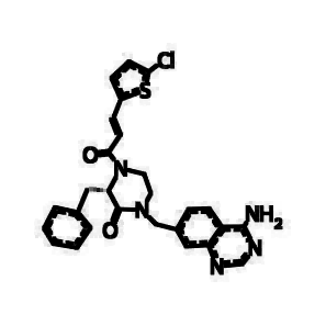 Nc1ncnc2cc(CN3CCN(C(=O)C=Cc4ccc(Cl)s4)[C@@H](Cc4ccccc4)C3=O)ccc12